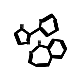 C1=Cc2ccccc2NN=C1.c1ccc(-c2ncc[nH]2)nc1